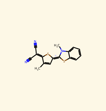 Cc1c/c(=C2\Sc3ccccc3N2C)sc1=C(C#N)C#N